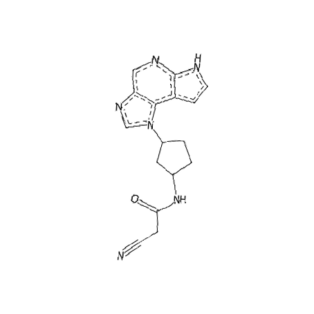 N#CCC(=O)NC1CCC(n2cnc3cnc4[nH]ccc4c32)C1